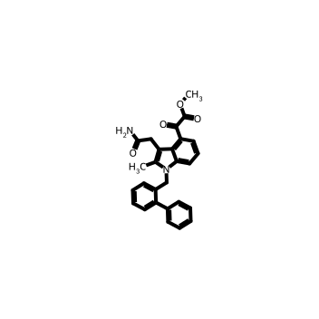 COC(=O)C(=O)c1cccc2c1c(CC(N)=O)c(C)n2Cc1ccccc1-c1ccccc1